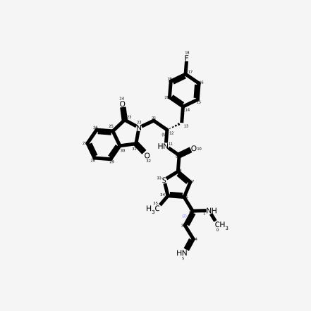 CN/C(=C\C=N)c1cc(C(=O)N[C@@H](Cc2ccc(F)cc2)CN2C(=O)c3ccccc3C2=O)sc1C